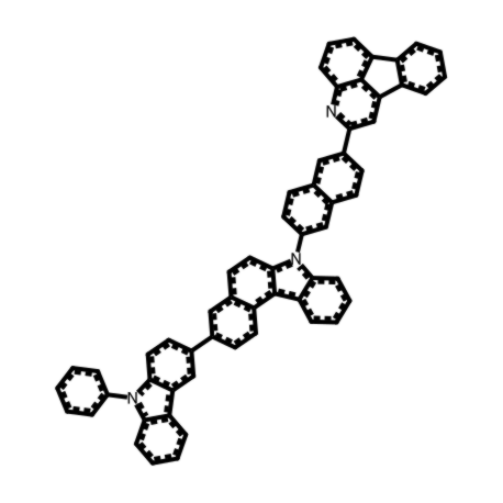 c1ccc(-n2c3ccccc3c3cc(-c4ccc5c(ccc6c5c5ccccc5n6-c5ccc6cc(-c7cc8c9c(cccc9n7)-c7ccccc7-8)ccc6c5)c4)ccc32)cc1